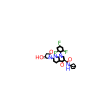 O=C(NC12CCC(C1)C2)c1cn(-c2c(F)cc(F)cc2F)c2nc(N3C[C@@H](O)CC3=O)ccc2c1=O